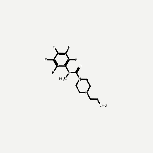 CN(C(=O)N1CCN(CCC=O)CC1)c1c(F)c(F)c(F)c(F)c1F